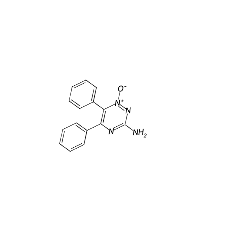 Nc1nc(-c2ccccc2)c(-c2ccccc2)[n+]([O-])n1